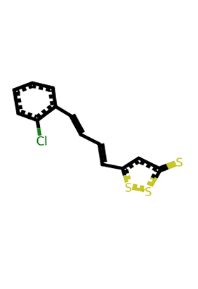 S=c1cc(C=CC=Cc2ccccc2Cl)ss1